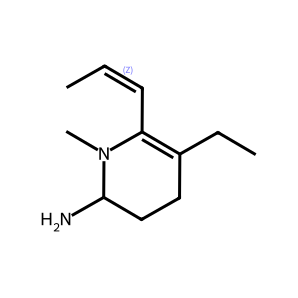 C/C=C\C1=C(CC)CCC(N)N1C